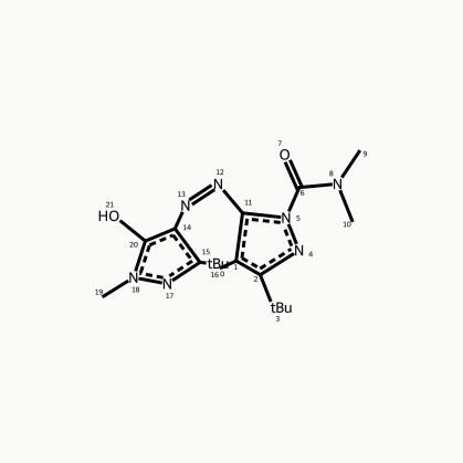 Cc1c(C(C)(C)C)nn(C(=O)N(C)C)c1/N=N\c1c(C(C)(C)C)nn(C)c1O